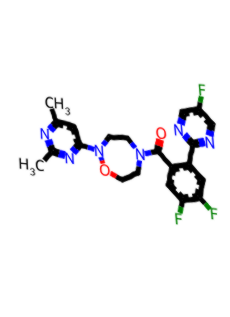 Cc1cc(N2CCN(C(=O)c3cc(F)c(F)cc3-c3ncc(F)cn3)CCO2)nc(C)n1